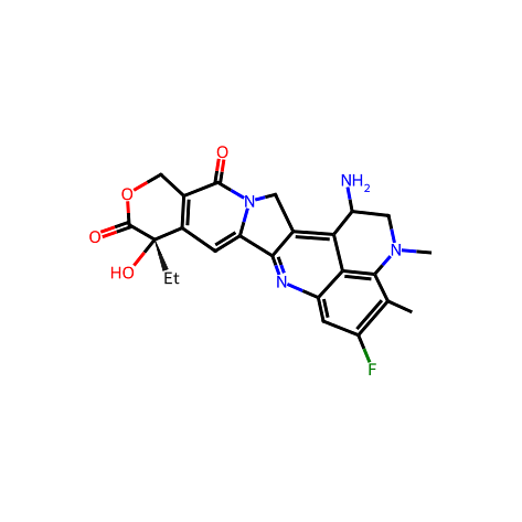 CC[C@@]1(O)C(=O)OCc2c1cc1n(c2=O)Cc2c-1nc1cc(F)c(C)c3c1c2C(N)CN3C